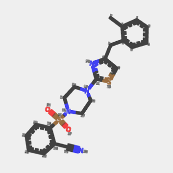 Cc1ccccc1Cc1csc(N2CCN(S(=O)(=O)c3ccccc3C#N)CC2)n1